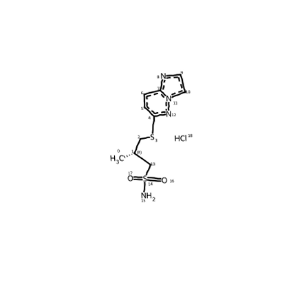 C[C@H](CSc1ccc2nccn2n1)CS(N)(=O)=O.Cl